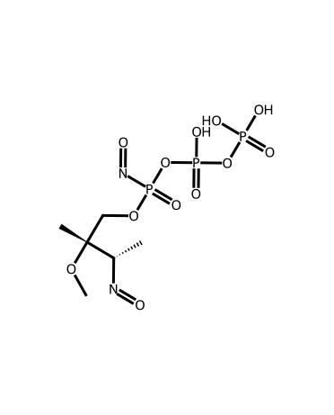 CO[C@](C)(COP(=O)(N=O)OP(=O)(O)OP(=O)(O)O)[C@H](C)N=O